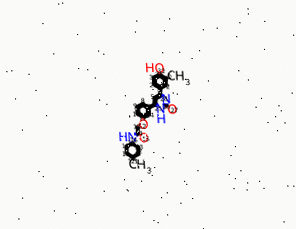 Cc1cc(-c2cc(-c3cccc(OCC(=O)NC4CCC(C)CC4)c3)[nH]c(=O)n2)ccc1O